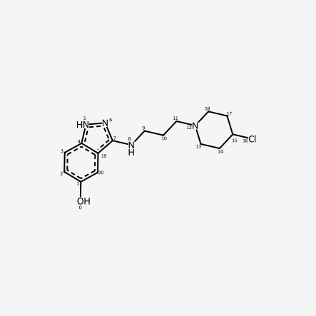 Oc1ccc2[nH]nc(NCCCN3CCC(Cl)CC3)c2c1